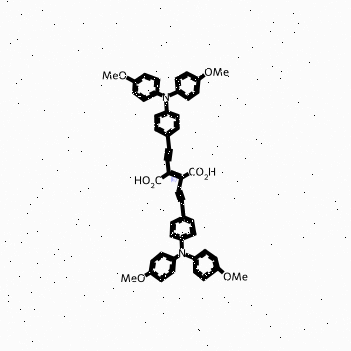 COc1ccc(N(c2ccc(C#C/C(C(=O)O)=C(/C#Cc3ccc(N(c4ccc(OC)cc4)c4ccc(OC)cc4)cc3)C(=O)O)cc2)c2ccc(OC)cc2)cc1